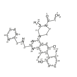 C=CC(=O)N1CCN(c2nc(CNCc3ncccn3)nc3c(F)c(-c4c(O)cccc4F)c(Cl)cc23)C[C@H]1C